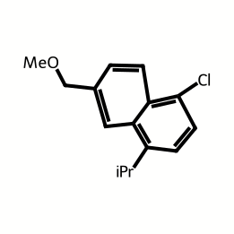 COCc1ccc2c(Cl)ccc(C(C)C)c2c1